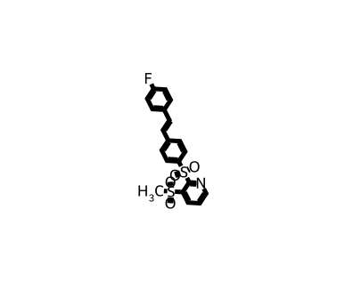 CS(=O)(=O)c1cccnc1S(=O)(=O)c1ccc(C=Cc2ccc(F)cc2)cc1